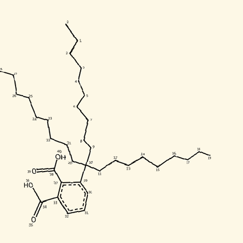 CCCCCCCCCCC(CCCCCCCCC)(CCCCCCCCC)c1cccc(C(=O)O)c1C(=O)O